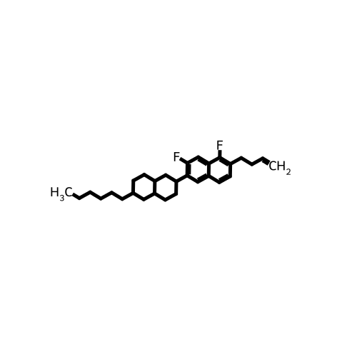 C=CCCc1ccc2cc(C3CCC4CC(CCCCCC)CCC4C3)c(F)cc2c1F